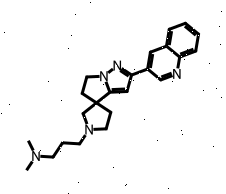 CN(C)CCCN1CCC2(CCn3nc(-c4cnc5ccccc5c4)cc32)C1